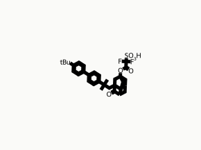 CC(C)(C)c1ccc(-c2ccc(C(C)(C)CC34CC5CC(CC(OC(=O)C(F)(F)S(=O)(=O)O)(C5)C3)C4=O)cc2)cc1